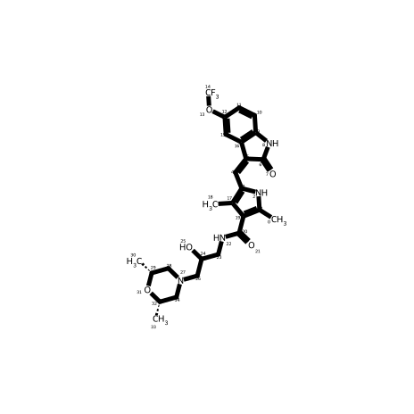 Cc1[nH]c(C=C2C(=O)Nc3ccc(OC(F)(F)F)cc32)c(C)c1C(=O)NCC(O)CN1C[C@@H](C)O[C@@H](C)C1